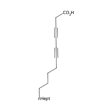 CCCCCCCCCCCC#CC#CCC(=O)O